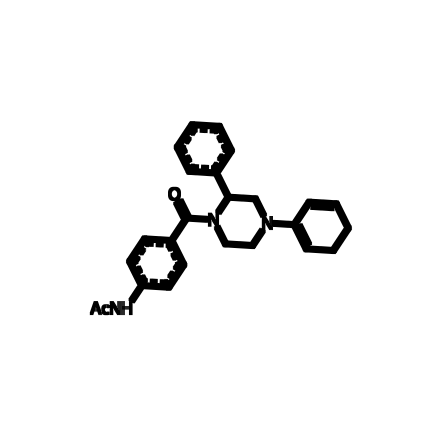 CC(=O)Nc1ccc(C(=O)N2CCN(C3=CCCC=C3)CC2c2ccccc2)cc1